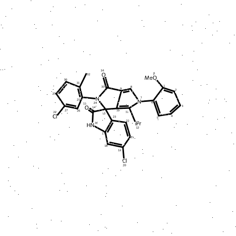 COc1ccccc1-n1cc2c(c1C(C)C)C1(C(=O)Nc3cc(Cl)ccc31)N(c1cc(Cl)ccc1C)C2=O